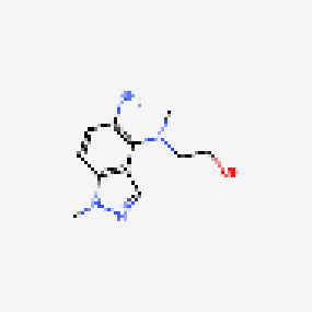 CN(CCO)c1c(N)ccc2c1cnn2C